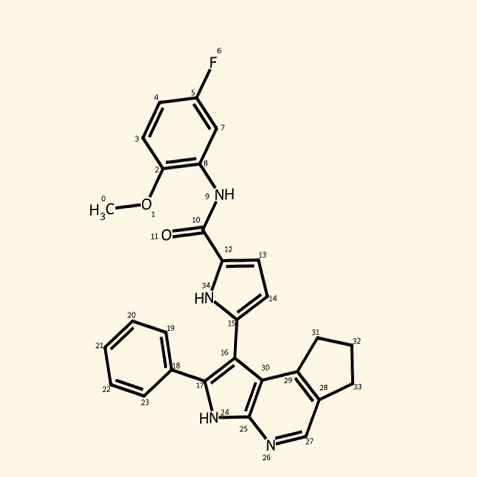 COc1ccc(F)cc1NC(=O)c1ccc(-c2c(-c3ccccc3)[nH]c3ncc4c(c23)CCC4)[nH]1